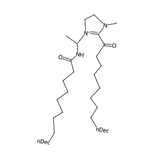 CCCCCCCCCCCCCCCCCC(=O)NC(C)[N+]1=C(C(=O)CCCCCCCCCCCCCCCCC)N(C)CC1